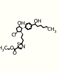 CCCCCC(O)c1ccc([C@@H]2[C@@H](CCCc3ncc(C(=O)OCC)s3)[C@@H](Cl)C[C@H]2O)cc1